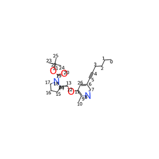 CCCCC#Cc1cnc(C)c(OC[C@H]2CCCN2C(=O)OC(C)(C)C)c1